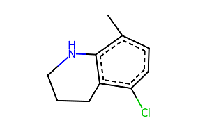 Cc1ccc(Cl)c2c1NCCC2